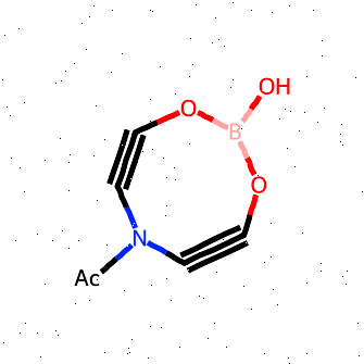 CC(=O)N1C#COB(O)OC#C1